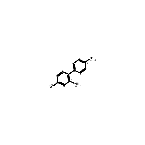 N#Cc1ccc(-c2ccc([N+](=O)[O-])cc2)c(N)c1